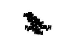 CN(CC(=O)O)C1=NC(=O)C(=C(Cc2ccc(C(C)(C)O)cc2C(F)(F)F)c2ccc3[nH]ncc3c2)S1